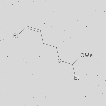 CC/C=C\CCOC(CC)OC